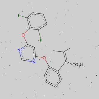 CC(C)=C(C(=O)O)c1ccccc1Oc1cc(Oc2c(F)cccc2F)ncn1